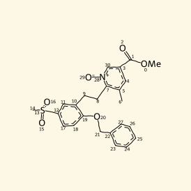 COC(=O)c1cc(C)c(CCc2cc(S(C)(=O)=O)ccc2OCc2ccccc2)[n+]([O-])c1